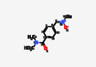 CN(C(=O)O)C(=O)c1ccc(/C=[N+](\[O-])C(C)(C)C)cc1